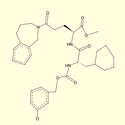 COC(=O)[C@H](CCC(=O)N1CCCc2ccccc2C1)NC(=O)[C@H](CC1CCCCC1)NC(=O)OCc1cccc(Cl)c1